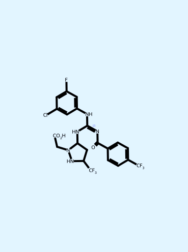 O=C(O)CN1NC(C(F)(F)F)CC1N/C(=N\C(=O)c1ccc(C(F)(F)F)cc1)Nc1cc(F)cc(Cl)c1